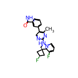 Cc1nc(NC[C@]2(c3ncccc3F)C[C@H](F)C2)ncc1-c1cccc(C(N)=O)c1